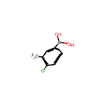 OB(O)c1ccc(Cl)c(C(F)(F)F)c1